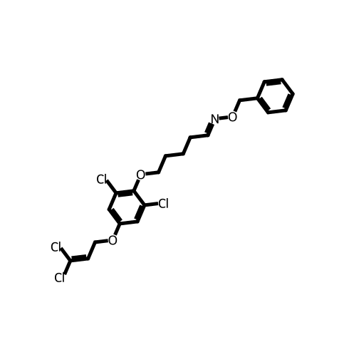 ClC(Cl)=CCOc1cc(Cl)c(OCCCCC=NOCc2ccccc2)c(Cl)c1